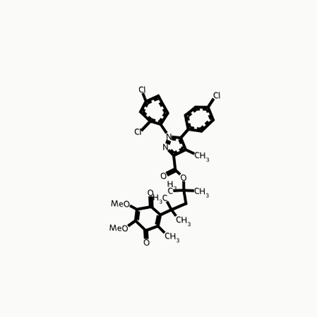 COC1=C(OC)C(=O)C(C(C)(C)CC(C)(C)OC(=O)c2nn(-c3ccc(Cl)cc3Cl)c(-c3ccc(Cl)cc3)c2C)=C(C)C1=O